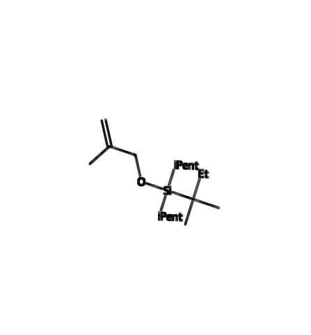 C=C(C)CO[Si](C(C)CCC)(C(C)CCC)C(C)(C)CC